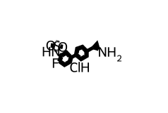 CS(=O)(=O)Nc1cc(-c2ccc(C3CC3N)cc2)ccc1F.Cl